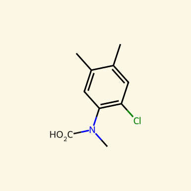 Cc1cc(Cl)c(N(C)C(=O)O)cc1C